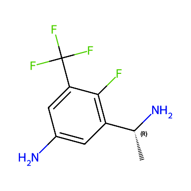 C[C@@H](N)c1cc(N)cc(C(F)(F)F)c1F